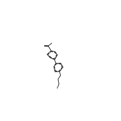 C=C(C)c1ccc(-c2ccc(CCCF)cc2)cc1